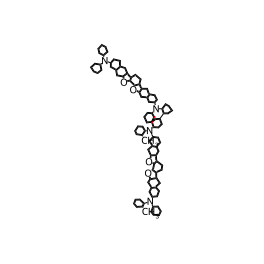 Cc1ccccc1N(c1ccccc1)c1ccc2cc3c(cc2c1)oc1c3ccc2c3cc4ccc(N(c5ccc(-c6ccccc6N(c6ccccc6)c6ccc7cc8c(cc7c6)oc6c8ccc7c8cc9ccc(N(c%10ccccc%10)c%10ccccc%10)cc9cc8oc76)cc5)c5ccccc5C)cc4cc3oc21